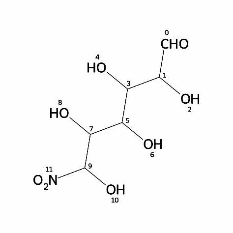 O=CC(O)C(O)C(O)C(O)C(O)[N+](=O)[O-]